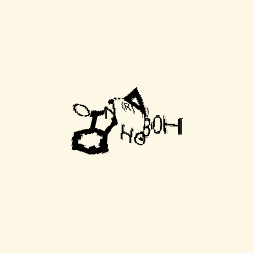 O=C1c2ccccc2CN1C[C@@H]1C[C@H]1B(O)O